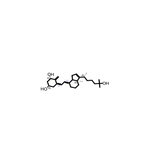 C=C1/C(=C\C=C2/CCC[C@]3(C)C([C@H](C)CCCC(C)(C)O)=CCC23)C[C@@H](O)C[C@@H]1O